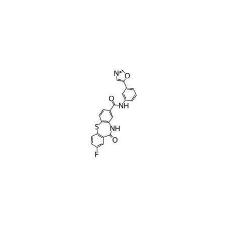 O=C(Nc1cccc(-c2cnco2)c1)c1ccc2c(c1)NC(=O)c1cc(F)ccc1S2